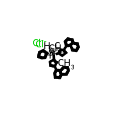 CC1=[C]([Hf+2]([C]2=C(C)C(c3cccc4ccccc34)=CC2)=[Si](C)c2ccccc2)CC=C1c1cccc2ccccc12.[Cl-].[Cl-]